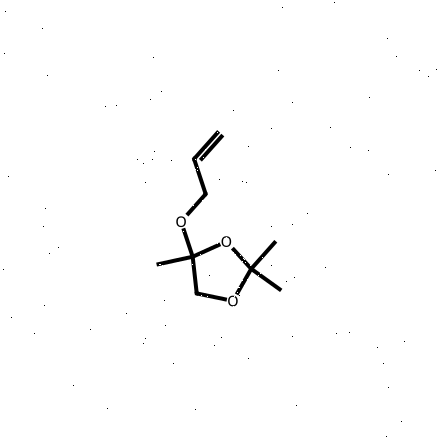 C=CCOC1(C)COC(C)(C)O1